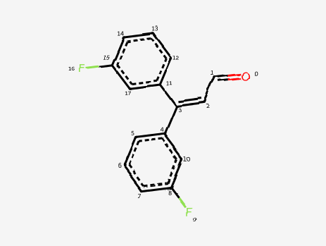 O=CC=C(c1cccc(F)c1)c1cccc(F)c1